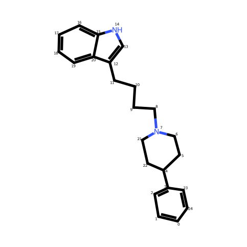 c1ccc(C2CCN(CCCCc3c[nH]c4ccccc34)CC2)cc1